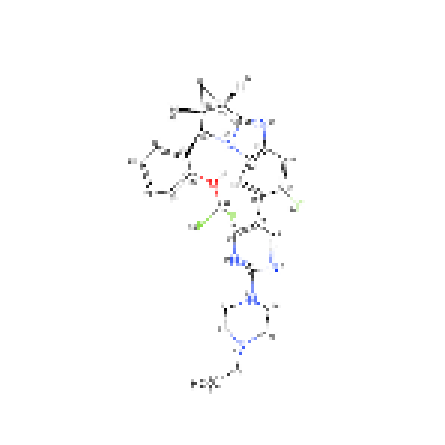 O=C(O)CN1CCN(c2ncc(-c3cc4c(cc3F)nc3n4[C@@H](c4ccccc4OC(F)F)[C@@H]4C[C@H]34)cn2)CC1